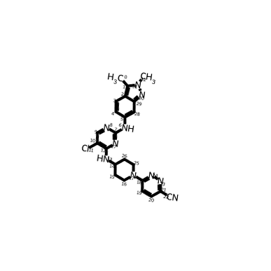 Cc1c2ccc(Nc3ncc(Cl)c(NC4CCN(c5ccc(C#N)nn5)CC4)n3)cc2nn1C